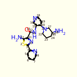 Nc1sc(-c2ccccn2)nc1C(=O)Nc1cnccc1N1CCC[C@H](N)C1